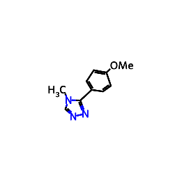 COc1ccc(-c2nncn2C)cc1